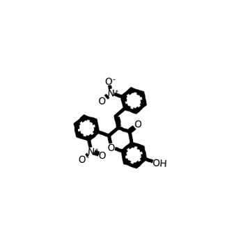 O=C1C(=Cc2ccccc2[N+](=O)[O-])C(c2ccccc2[N+](=O)[O-])Oc2ccc(O)cc21